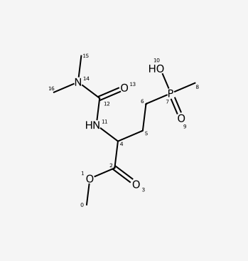 COC(=O)C(CCP(C)(=O)O)NC(=O)N(C)C